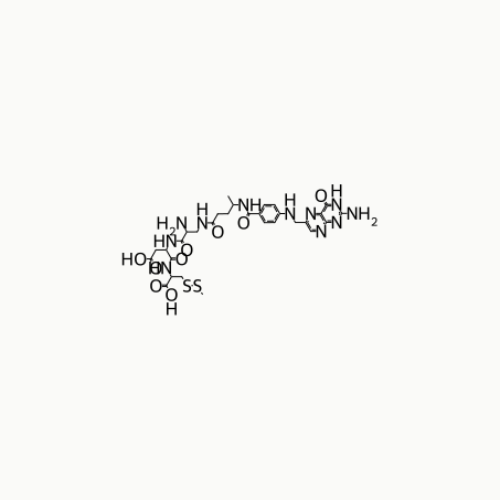 CSSCC(NC(=O)C(CC(=O)O)NC(=O)C(N)CNC(=O)CCC(C)NC(=O)c1ccc(NCc2cnc3nc(N)[nH]c(=O)c3n2)cc1)C(=O)O